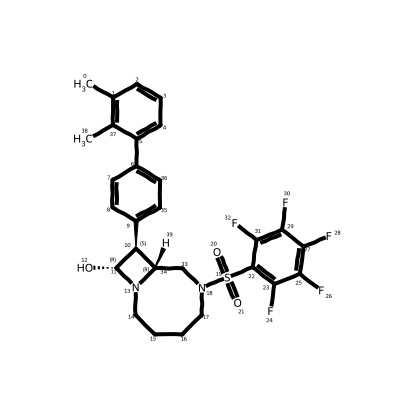 Cc1cccc(-c2ccc([C@@H]3[C@@H](O)N4CCCCN(S(=O)(=O)c5c(F)c(F)c(F)c(F)c5F)C[C@@H]34)cc2)c1C